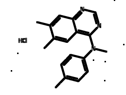 Cc1ccc(N(C)c2ncnc3cc(C)c(C)cc23)cc1.Cl